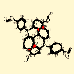 COc1ccc(P(c2ccc(OC)cc2)c2cccc(C)c2-c2c(C)cccc2P(c2ccc(OC)cc2)c2ccc(OC)cc2)cc1